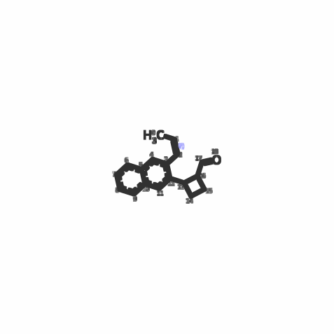 C/C=C\c1cc2ccccc2cc1C1CCC1C=O